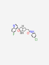 O=C(C[C@@H]1C[C@@H]2C[C@@]3(c4ccnc5ccc(F)cc45)O[C@H]3[C@@H]2C1)Nc1ccc(Cl)cc1